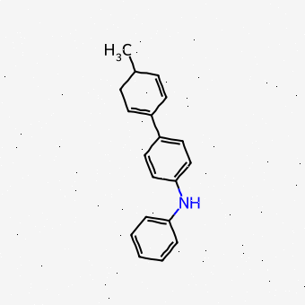 CC1C=CC(c2ccc(Nc3ccccc3)cc2)=CC1